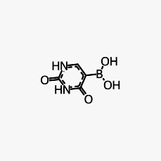 O=c1[nH]cc(B(O)O)c(=O)[nH]1